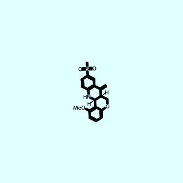 C=C1c2cc(S(C)(=O)=O)ccc2N[C@@H]2c3c(OC)cccc3OC[C@H]12